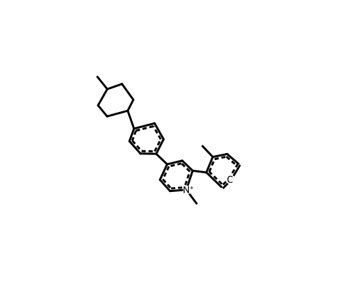 Cc1ccccc1-c1cc(-c2ccc(C3CCC(C)CC3)cc2)cc[n+]1C